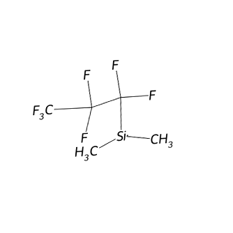 C[Si](C)C(F)(F)C(F)(F)C(F)(F)F